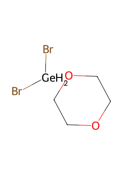 C1COCCO1.[Br][GeH2][Br]